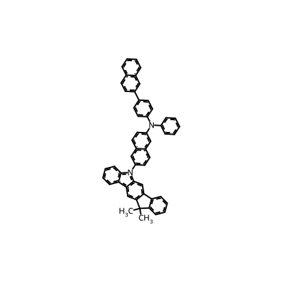 CC1(C)c2ccccc2-c2cc3c(cc21)c1ccccc1n3-c1ccc2cc(N(c3ccccc3)c3ccc(-c4ccc5ccccc5c4)cc3)ccc2c1